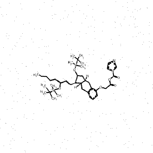 CCCCCC(CC[C@H]1C(O[Si](C)(C)C(C)(C)C)C[C@@H]2Cc3c(cccc3OCC(=O)OC(=O)n3ccnc3)C[C@@H]21)O[Si](C)(C)C(C)(C)C